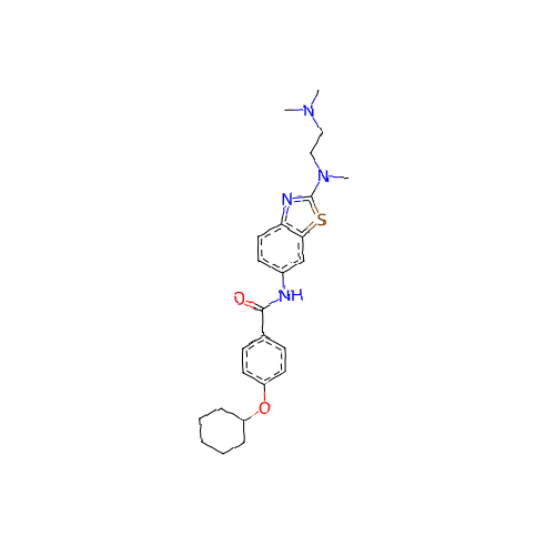 CN(C)CCN(C)c1nc2ccc(NC(=O)c3ccc(OC4CCCCC4)cc3)cc2s1